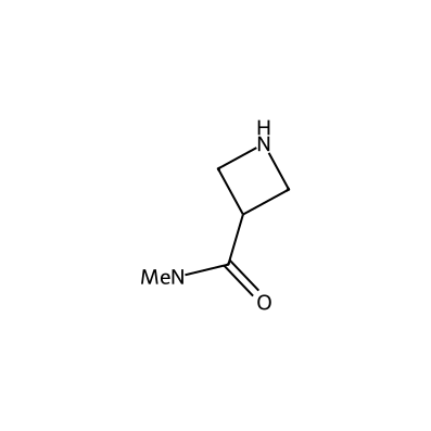 CNC(=O)C1CNC1